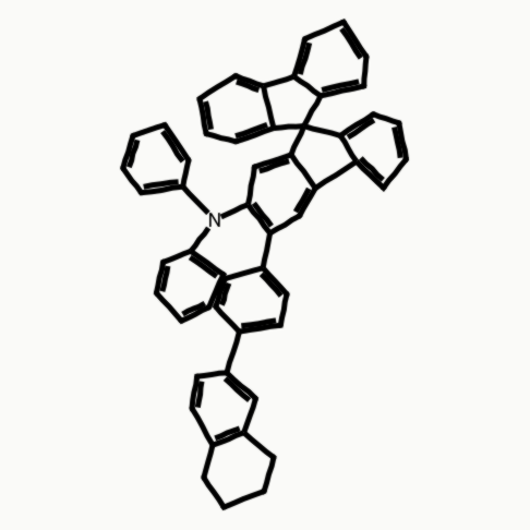 c1ccc(N(c2ccccc2)c2cc3c(cc2-c2ccc(-c4ccc5c(c4)CCCC5)cc2)-c2ccccc2C32c3ccccc3-c3ccccc32)cc1